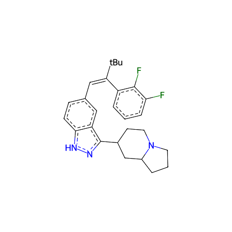 CC(C)(C)C(=Cc1ccc2[nH]nc(C3CCN4CCCC4C3)c2c1)c1cccc(F)c1F